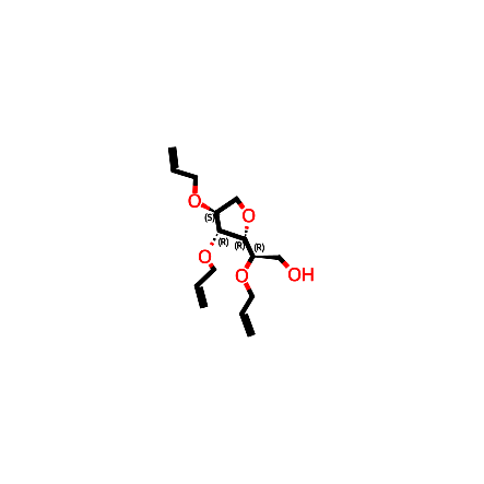 C=CCO[C@H]1[C@@H]([C@@H](CO)OCC=C)OC[C@@H]1OCC=C